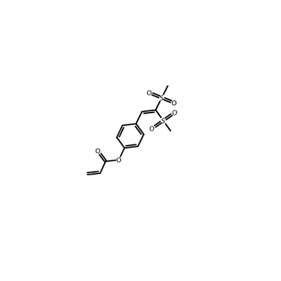 C=CC(=O)Oc1ccc(C=C(S(C)(=O)=O)S(C)(=O)=O)cc1